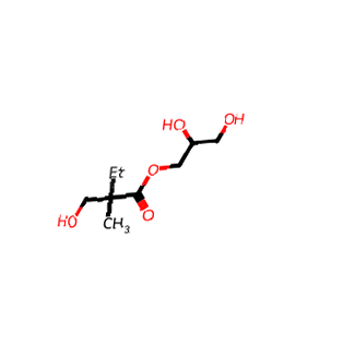 CCC(C)(CO)C(=O)OCC(O)CO